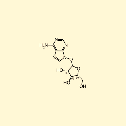 Nc1ncnc2c1ncn2OC1O[C@H](CO)[C@@H](O)[C@@H]1O